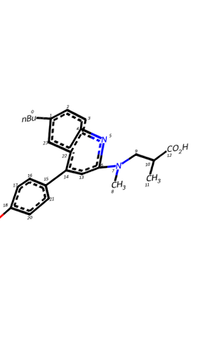 CCCCc1ccc2nc(N(C)CC(C)C(=O)O)cc(-c3ccc(O)cc3)c2c1